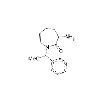 COC(c1ccccc1)N1CCCCC(N)C1=O